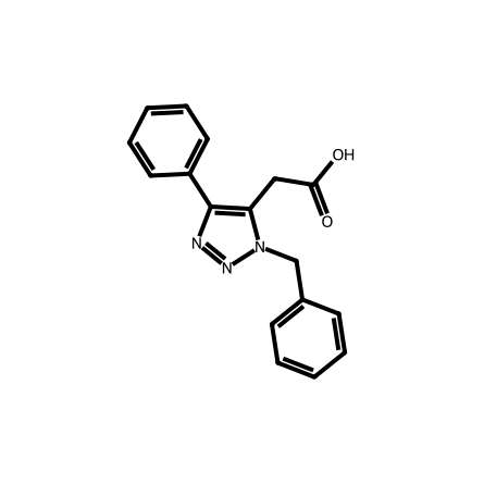 O=C(O)Cc1c(-c2ccccc2)nnn1Cc1ccccc1